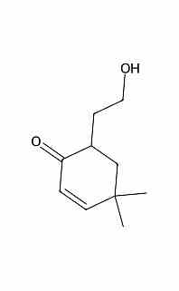 CC1(C)C=CC(=O)C(CCO)C1